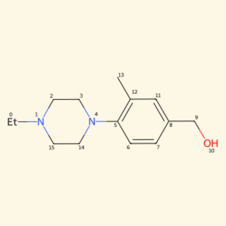 CCN1CCN(c2ccc(CO)cc2C)CC1